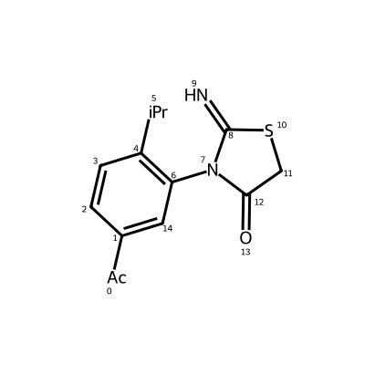 CC(=O)c1ccc(C(C)C)c(N2C(=N)SCC2=O)c1